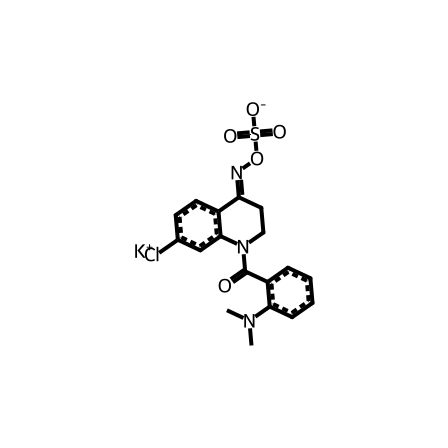 CN(C)c1ccccc1C(=O)N1CCC(=NOS(=O)(=O)[O-])c2ccc(Cl)cc21.[K+]